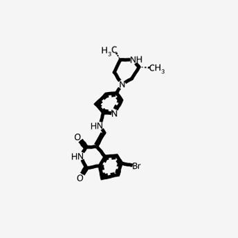 C[C@@H]1CN(c2ccc(N/C=C3\C(=O)NC(=O)c4ccc(Br)cc43)nc2)C[C@H](C)N1